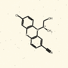 C[C@H](CO)N1c2ccc(Cl)cc2Sc2ccc(C#N)cc21